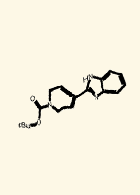 CC(C)(C)OC(=O)N1CC=C(c2nc3ccccc3[nH]2)CC1